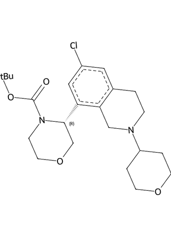 CC(C)(C)OC(=O)N1CCOC[C@H]1c1cc(Cl)cc2c1CN(C1CCOCC1)CC2